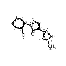 Cc1ccccc1-n1ncc(-c2nnn(C)n2)c1I